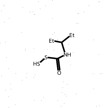 CCC(CC)NC(=O)SS